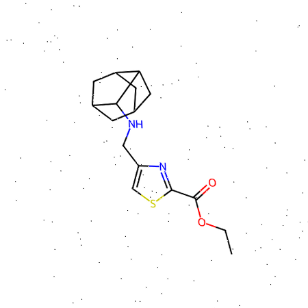 CCOC(=O)c1nc(CNC2C3CC4CC(C3)C2C4)cs1